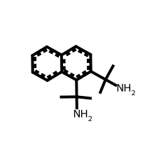 CC(C)(N)c1ccc2ccccc2c1C(C)(C)N